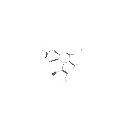 COC(=O)C1=C(C)OC(N)=C(C#N)C1c1ccc(SC)cc1